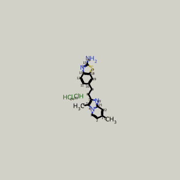 Cc1ccn2c(C)c(CCc3ccc4nc(N)sc4c3)nc2c1.Cl.Cl